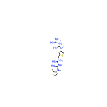 Cc1sccc1N(C)C(=N)NC(=N)NCc1cc(N(C)C(=N)NC(=N)N)cs1